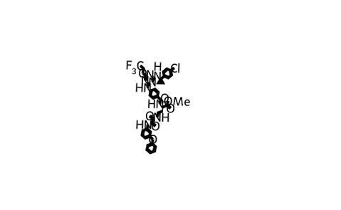 COC(=O)[C@@H](CCNC(=O)C(=O)Nc1cccc(Oc2ccccc2)c1)NC(=O)c1ccc(Nc2nc(NC3(c4ccc(Cl)cc4)CC3)nc(OCC(F)(F)F)n2)cc1